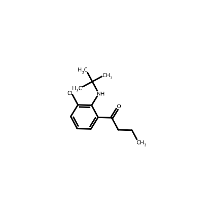 CCCC(=O)c1cccc(Cl)c1NC(C)(C)C